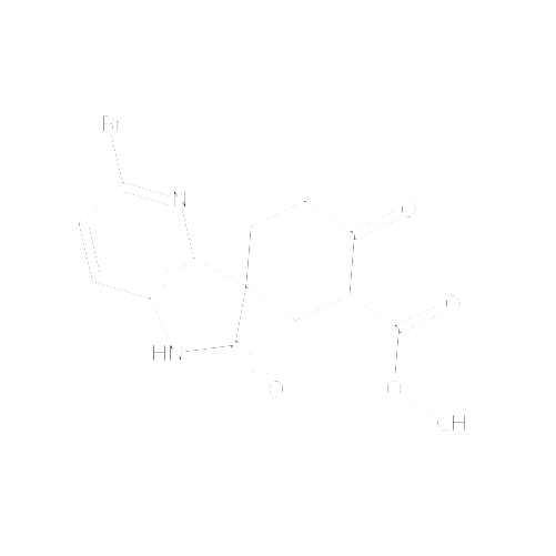 COC(=O)C1CC2(CCC1=O)C(=O)Nc1ccc(Br)nc12